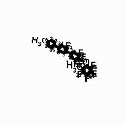 Cc1ccc(-c2ccc(-c3cc(F)c(C(F)(F)Oc4c(C)c(F)c(F)c(F)c4F)c(F)c3)c(F)c2)cc1